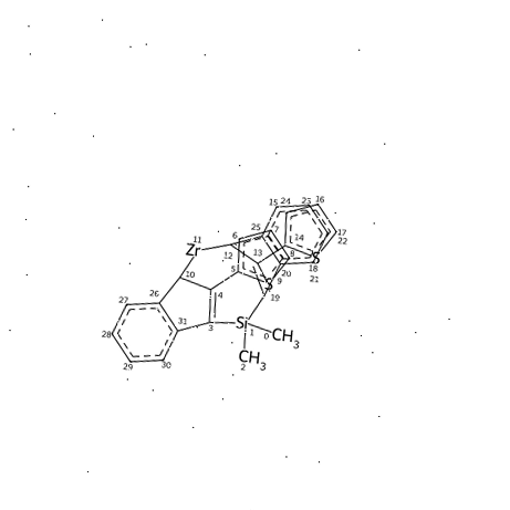 C[Si]1(C)C2=C(c3cccs3)[CH]([Zr][CH]3C(c4cccs4)=C1c1ccccc13)c1ccccc12